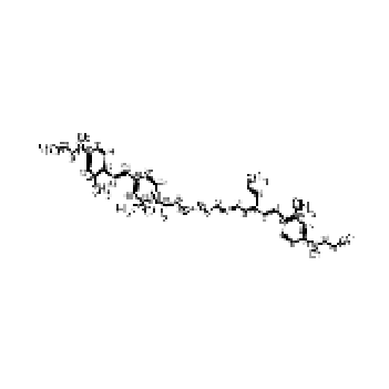 C/C=C/C(/C=C/c1ccc(N(CC)CCO)cc1C)=C\C=N\CCSSCCN1C=CC(/C=C/c2ccc(N(CC)CCO)cc2C)=CC1(C)C